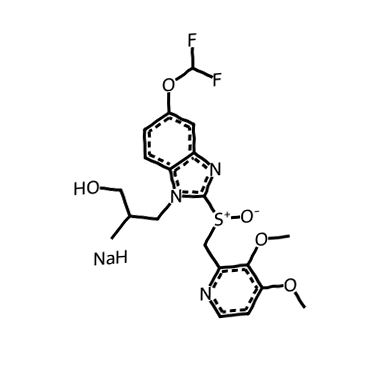 COc1ccnc(C[S+]([O-])c2nc3cc(OC(F)F)ccc3n2CC(C)CO)c1OC.[NaH]